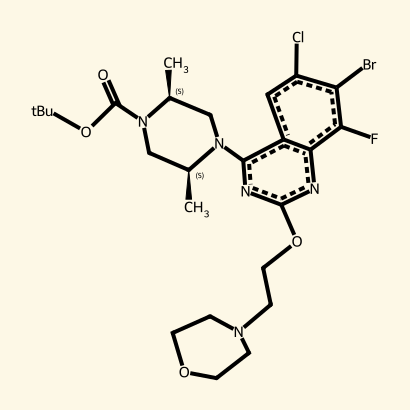 C[C@H]1CN(c2nc(OCCN3CCOCC3)nc3c(F)c(Br)c(Cl)cc23)[C@@H](C)CN1C(=O)OC(C)(C)C